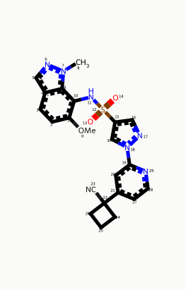 COc1ccc2cnn(C)c2c1NS(=O)(=O)c1cnn(-c2cc(C3(C#N)CCC3)ccn2)c1